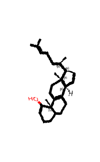 CC(C)=CCC[C@@H](C)[C@H]1CC[C@H]2C3=C(CC[C@]12C)[C@@]1(C)C(O)CCCC1CC3